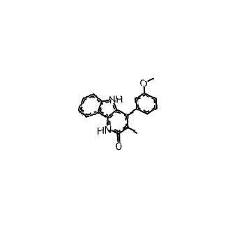 COc1cccc(-c2c(C)c(=O)[nH]c3c2[nH]c2ccccc23)c1